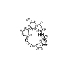 CC(C)c1cc(F)cc2c1CC(=O)NS(=O)(=O)c1cc(ccc1F)CCOc1cc-2ccn1